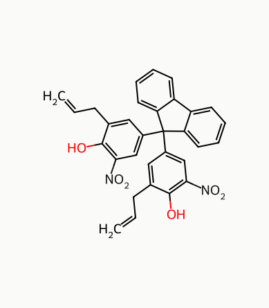 C=CCc1cc(C2(c3cc(CC=C)c(O)c([N+](=O)[O-])c3)c3ccccc3-c3ccccc32)cc([N+](=O)[O-])c1O